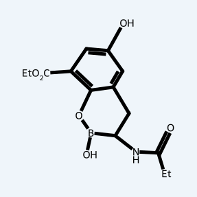 CCOC(=O)c1cc(O)cc2c1OB(O)C(NC(=O)CC)C2